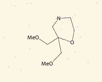 COCC1(COC)C[N]CCO1